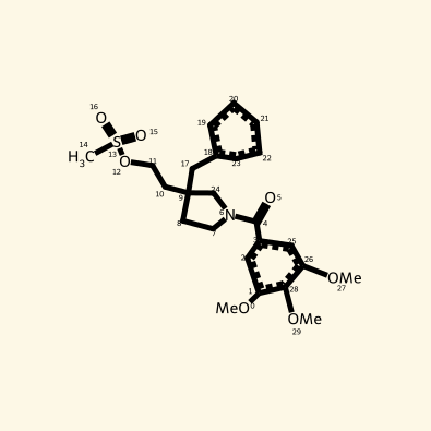 COc1cc(C(=O)N2CCC(CCOS(C)(=O)=O)(Cc3ccccc3)C2)cc(OC)c1OC